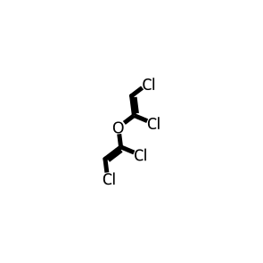 ClC=C(Cl)OC(Cl)=CCl